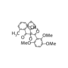 COc1ccc(OC)c(C(=O)P(=O)(C(=O)c2c(C)cccc2C)c2ccccc2)c1OC